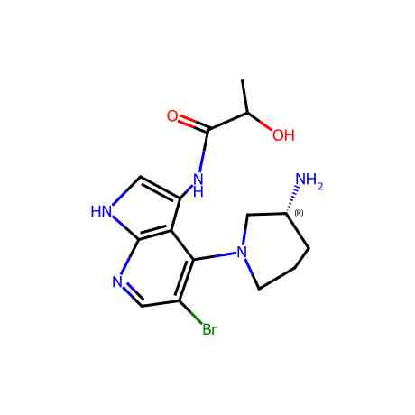 CC(O)C(=O)Nc1c[nH]c2ncc(Br)c(N3CCC[C@@H](N)C3)c12